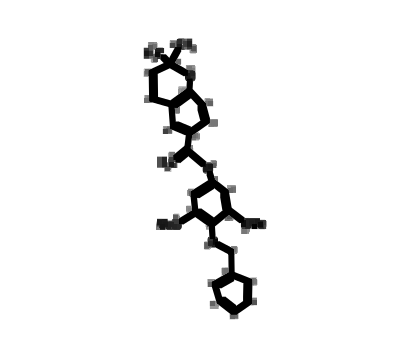 C=C(Oc1cc(OC)c(OCc2ccccc2)c(OC)c1)c1ccc2c(c1)C=CC(C)(C)O2